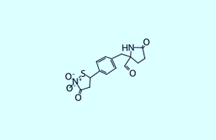 O=CC1(Cc2ccc(C3CC(=O)[N+]([O-])([O-])S3)cc2)CCC(=O)N1